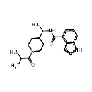 CC(N)C(=O)N1CCC(C(C)NC(=O)c2cccc3[nH]ccc23)CC1